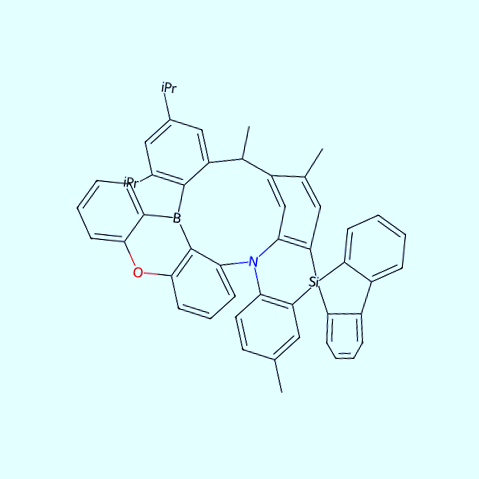 Cc1ccc2c(c1)[Si]1(c3ccccc3-c3ccccc31)c1cc(C)c3cc1N2c1cccc2c1B(c1ccccc1O2)c1c(C(C)C)cc(C(C)C)cc1C3C